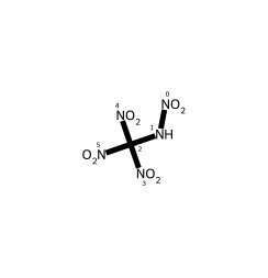 O=[N+]([O-])NC([N+](=O)[O-])([N+](=O)[O-])[N+](=O)[O-]